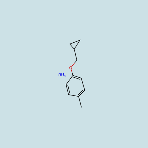 Cc1ccc(OCC2CC2)cc1.N